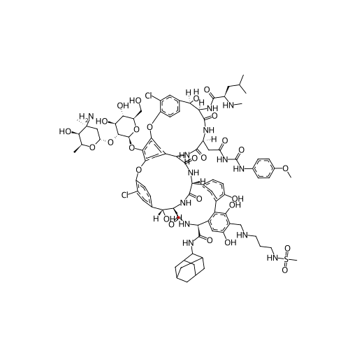 CN[C@H](CC(C)C)C(=O)N[C@H]1C(=O)N[C@@H](CC(=O)NC(=O)Nc2ccc(OC)cc2)C(=O)N[C@H]2C(=O)N[C@H]3C(=O)N[C@H](C(=O)N[C@H](C(=O)NC4C5CC6CC(C5)CC4C6)c4cc(O)c(CNCCCNS(C)(=O)=O)c(O)c4-c4cc3ccc4O)[C@H](O)c3ccc(c(Cl)c3)Oc3cc2cc(c3O[C@@H]2O[C@H](CO)[C@@H](O)[C@H](O)[C@H]2O[C@H]2C[C@](C)(N)[C@H](O)[C@H](C)O2)Oc2ccc(cc2Cl)[C@H]1O